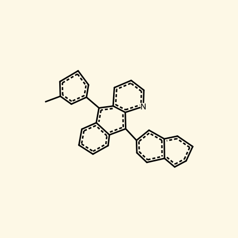 Cc1cccc(-c2c3ccccc3c(-c3ccc4ccccc4c3)c3ncccc23)c1